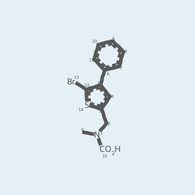 CN(Cc1cc(-c2ccccc2)c(Br)s1)C(=O)O